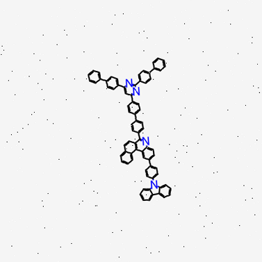 c1ccc(-c2ccc(-c3cc(-c4ccc(-c5ccc(-c6nc7ccc(-c8ccc(-n9c%10ccccc%10c%10ccccc%109)cc8)cc7c7c6ccc6ccccc67)cc5)cc4)nc(-c4ccc(-c5ccccc5)cc4)n3)cc2)cc1